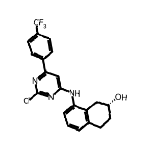 O[C@@H]1CCc2cccc(Nc3cc(-c4ccc(C(F)(F)F)cc4)nc(Cl)n3)c2C1